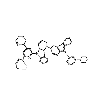 C1=CCC(c2cc(C3C=CCCC3)nc(N3c4ccccc4C4C(C5C=Cc6c(c7ccccc7n6-c6cccc(C7C=CCCC7)c6)C5)CC=CC43)c2)C=C1